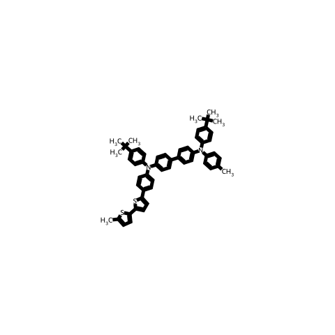 Cc1ccc(N(c2ccc(-c3ccc(N(c4ccc(-c5ccc(-c6ccc(C)s6)s5)cc4)c4ccc(C(C)(C)C)cc4)cc3)cc2)c2ccc(C(C)(C)C)cc2)cc1